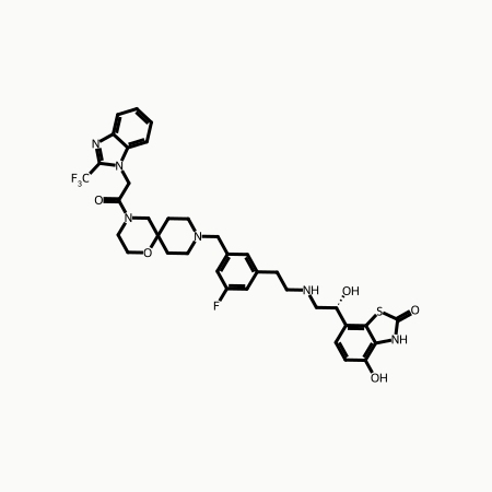 O=C(Cn1c(C(F)(F)F)nc2ccccc21)N1CCOC2(CCN(Cc3cc(F)cc(CCNC[C@H](O)c4ccc(O)c5[nH]c(=O)sc45)c3)CC2)C1